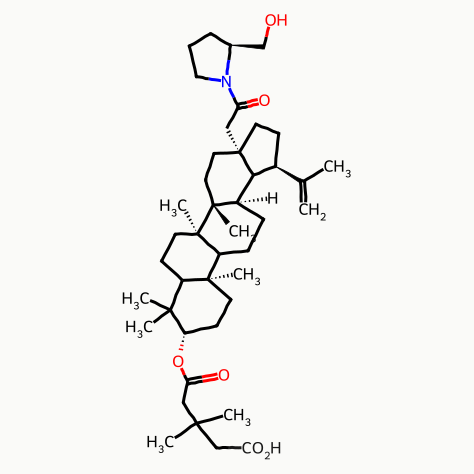 C=C(C)[C@@H]1CC[C@]2(CC(=O)N3CCC[C@H]3CO)CC[C@]3(C)[C@H](CCC4[C@@]5(C)CC[C@H](OC(=O)CC(C)(C)CC(=O)O)C(C)(C)C5CC[C@]43C)C12